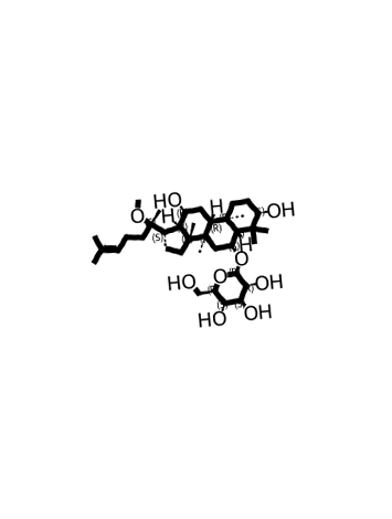 CO[C@@](C)(CCC=C(C)C)[C@H]1CC[C@]2(C)[C@@H]1[C@H](O)C[C@@H]1[C@@]3(C)CC[C@H](O)C(C)(C)[C@@H]3[C@@H](O[C@@H]3O[C@H](CO)[C@@H](O)[C@H](O)[C@H]3O)C[C@]12C